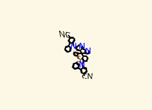 N#Cc1ccc2c(c1)c1ccccc1n2-c1cnc2c(c1)C1(c3ccccc3Sc3c(-n4c5ccccc5c5cc(C#N)ccc54)cccc31)c1cccnc1-2